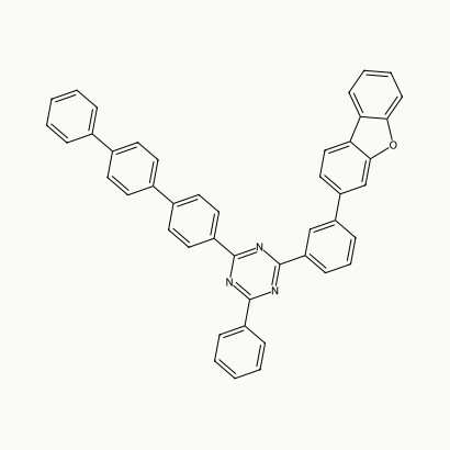 c1ccc(-c2ccc(-c3ccc(-c4nc(-c5ccccc5)nc(-c5cccc(-c6ccc7c(c6)oc6ccccc67)c5)n4)cc3)cc2)cc1